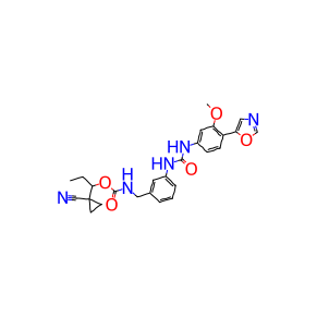 CCC(OC(=O)NCc1cccc(NC(=O)Nc2ccc(-c3cnco3)c(OC)c2)c1)C1(C#N)CC1